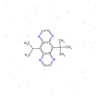 CC(C)c1c2nccnc2c(C(C)(C)C)c2nccnc12